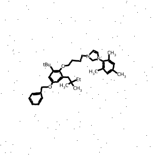 CCC(C)(C)Cc1cc(OCc2ccccc2)cc(C(C)(C)C)c1OCCCCN1C=CN(c2c(C)cc(C)cc2C)C1